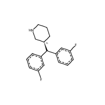 Fc1cccc(C(c2cccc(F)c2)[C@@H]2CCCNC2)c1